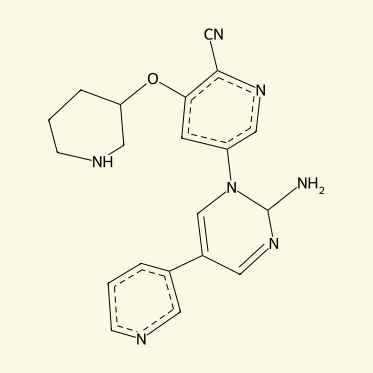 N#Cc1ncc(N2C=C(c3cccnc3)C=NC2N)cc1OC1CCCNC1